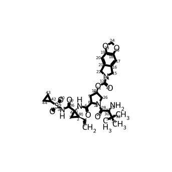 C=C[C@H]1C[C@@]1(NC(=O)C1C[C@@H](OC(=O)N2Cc3cc4c(cc3C2)OCO4)CN1C(=O)[C@@H](N)C(C)(C)C)C(=O)NS(=O)(=O)C1CC1